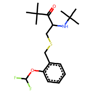 CC(C)(C)NC(CSCc1ccccc1OC(F)F)C(=O)C(C)(C)C